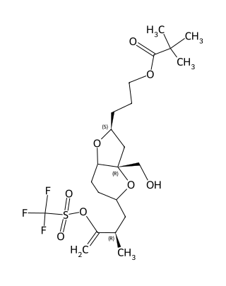 C=C(OS(=O)(=O)C(F)(F)F)[C@H](C)CC1CCC2O[C@@H](CCCOC(=O)C(C)(C)C)C[C@]2(CO)O1